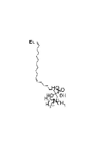 CC/C=C\CCCCCCCC/C=C\CCCCCC(O)(C[N+](C)(C)C)P(=O)(O)O